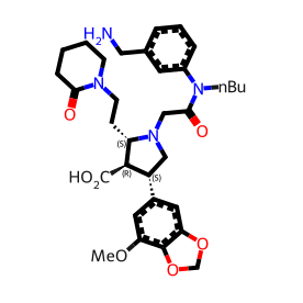 CCCCN(C(=O)CN1C[C@H](c2cc(OC)c3c(c2)OCO3)[C@@H](C(=O)O)[C@@H]1CCN1CCCCC1=O)c1cccc(CN)c1